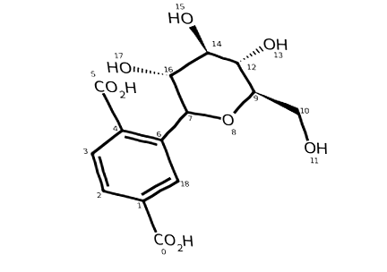 O=C(O)c1ccc(C(=O)O)c(C2O[C@H](CO)[C@@H](O)[C@H](O)[C@H]2O)c1